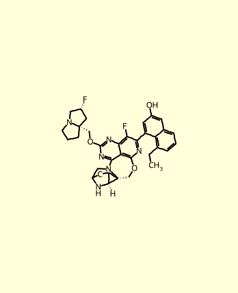 CCc1cccc2cc(O)cc(-c3nc4c5c(nc(OC[C@]67CCCN6C[C@H](F)C7)nc5c3F)N3CC5CC6[C@H](N5)[C@@]63CO4)c12